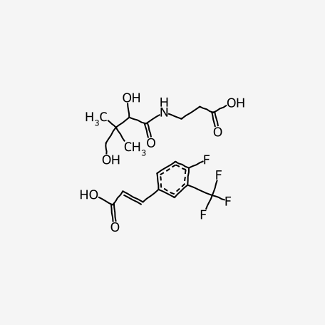 CC(C)(CO)C(O)C(=O)NCCC(=O)O.O=C(O)C=Cc1ccc(F)c(C(F)(F)F)c1